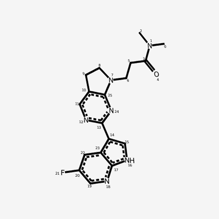 CN(C)C(=O)CCN1CCc2cnc(-c3c[nH]c4ncc(F)cc34)nc21